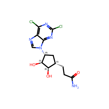 NC(=O)CC[C@H]1C[C@@H](n2cnc3c(Cl)nc(Cl)nc32)[C@H](O)[C@@H]1O